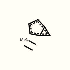 CC.CNC.c1cc2cc-2c1